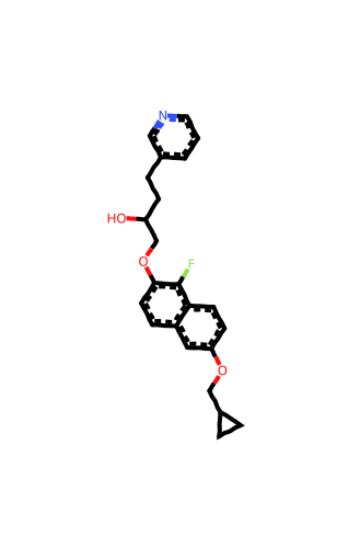 OC(CCc1cccnc1)COc1ccc2cc(OCC3CC3)ccc2c1F